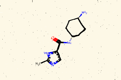 Cc1ncc(C(=O)N[C@H]2CC[C@H](N)CC2)[nH]1